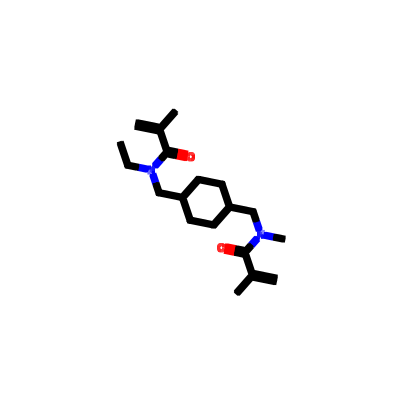 C=C(C)C(=O)N(C)CC1CCC(CN(CC)C(=O)C(=C)C)CC1